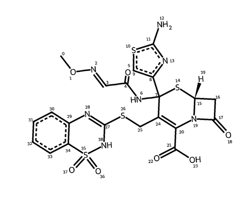 CO/N=C/C(=O)NC1(c2csc(N)n2)S[C@@H]2CC(=O)N2C(C(=O)O)=C1CSC1=Nc2ccccc2S(=O)(=O)N1